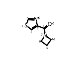 O=C(c1cscn1)N1CCC1